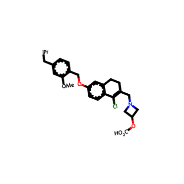 COc1cc(CC(C)C)ccc1COc1ccc2c(c1)CCC(CN1CC(OC(=O)O)C1)=C2Cl